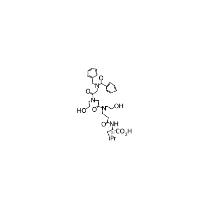 CC(C)C[C@H](NC(=O)CCN(CCO)C(=O)CN(CCO)C(=O)CN(Cc1ccccc1)C(=O)c1ccccc1)C(=O)O